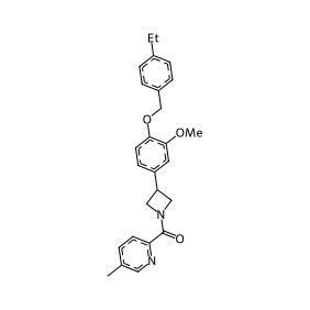 CCc1ccc(COc2ccc(C3CN(C(=O)c4ccc(C)cn4)C3)cc2OC)cc1